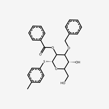 Cc1ccc(S[C@H]2OC(CO)[C@@H](O)C(OCc3ccccc3)C2OC(=O)c2ccccc2)cc1